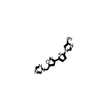 CC(C)c1cn(-c2ccc(-c3cc(Cn4cncn4)on3)s2)cn1